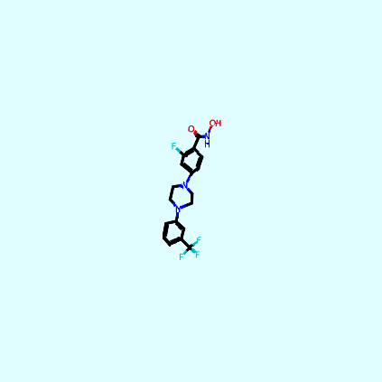 O=C(NO)c1ccc(N2CCN(c3cccc(C(F)(F)F)c3)CC2)cc1F